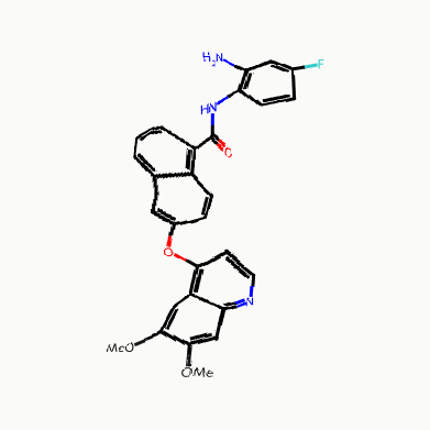 COc1cc2nccc(Oc3ccc4c(C(=O)Nc5ccc(F)cc5N)cccc4c3)c2cc1OC